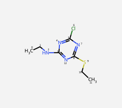 CCNc1nc(Cl)nc(SCC)n1